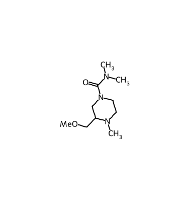 COCC1CN(C(=O)N(C)C)CCN1C